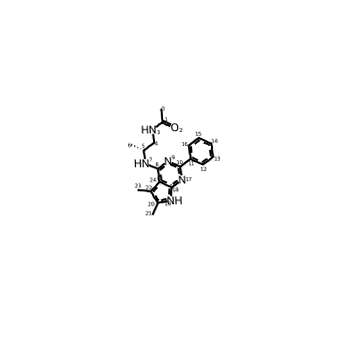 CC(=O)NC[C@@H](C)Nc1nc(-c2ccccc2)nc2[nH]c(C)c(C)c12